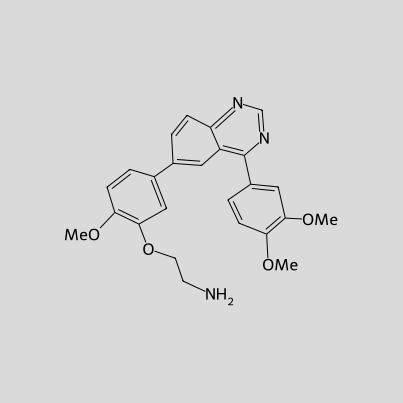 COc1ccc(-c2ncnc3ccc(-c4ccc(OC)c(OCCN)c4)cc23)cc1OC